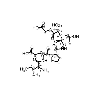 CC[C@H](C)[C@H](N)C(=O)N[C@@H](CCC(=O)O)C(=O)N1CCC[C@H]1C(=O)N[C@@H](CC(=O)O)C(=O)N[C@@H](CO)C(=O)NCC(=O)O